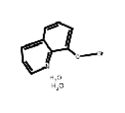 O.O.[Bi][O]c1cccc2cccnc12